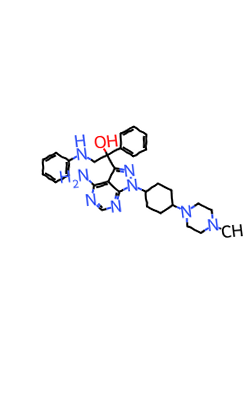 CN1CCN(C2CCC(n3nc(C(O)(CNc4ccccc4)c4ccccc4)c4c(N)ncnc43)CC2)CC1